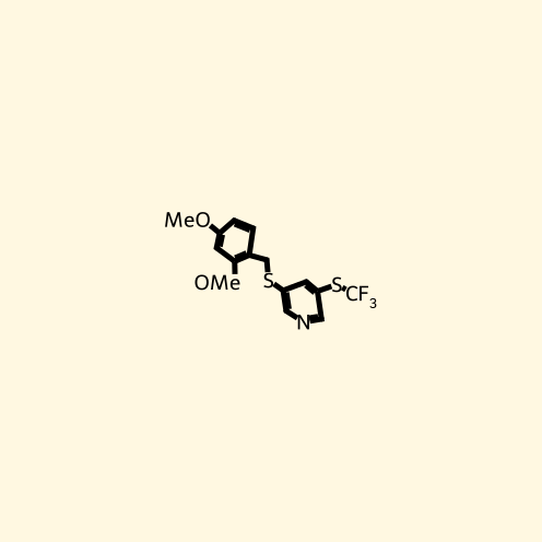 COc1ccc(CSc2cncc(SC(F)(F)F)c2)c(OC)c1